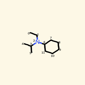 CCN(C(C)C)C1CCCCC1